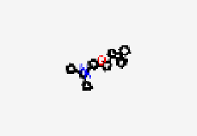 c1ccc(-c2cc(-c3ccccc3)nc(-c3ccc4oc5c(-c6cccc7c6-c6ccccc6C76CCCCC6)cccc5c4c3)n2)cc1